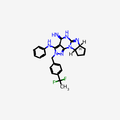 CC(F)(F)c1ccc(Cn2nc3c(c2Nc2ccccc2)C(=N)NC2=N[C@@H]4CCC[C@@H]4N23)cc1